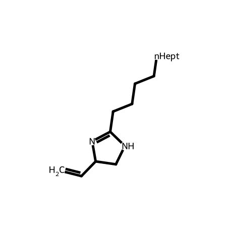 C=CC1CNC(CCCCCCCCCCC)=N1